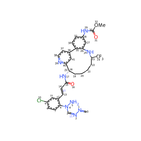 C=N/N=C\N(N)c1ccc(Cl)cc1/C=C/C(=O)N[C@H]1CCCCC(C(F)(F)F)Nc2cc(NC(=O)OC)ccc2-c2ccnc1c2